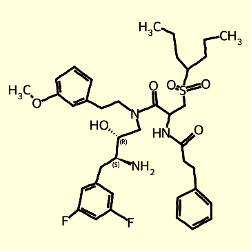 CCCC(CCC)S(=O)(=O)CC(NC(=O)CCc1ccccc1)C(=O)N(CCc1cccc(OC)c1)C[C@@H](O)[C@@H](N)Cc1cc(F)cc(F)c1